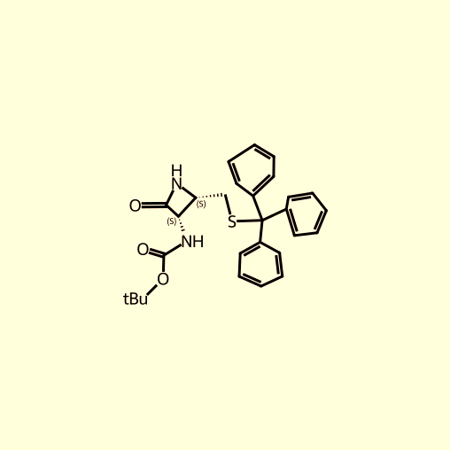 CC(C)(C)OC(=O)N[C@@H]1C(=O)N[C@@H]1CSC(c1ccccc1)(c1ccccc1)c1ccccc1